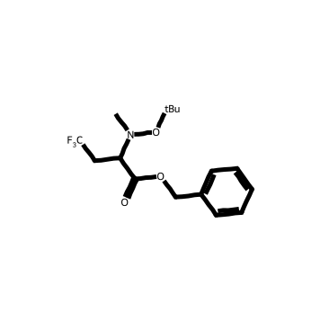 CN(OC(C)(C)C)C(CC(F)(F)F)C(=O)OCc1ccccc1